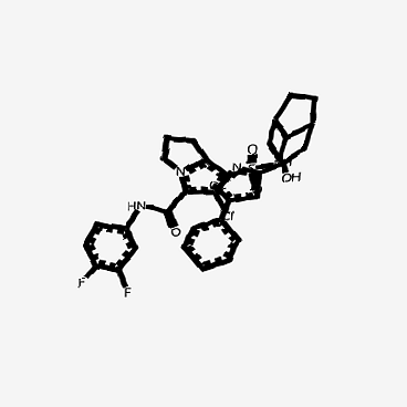 O=C(Nc1ccc(F)c(F)c1)c1c(Cl)c(S(=O)(=O)NC2C3CCC2CC(O)(c2cc(-c4ccccc4)on2)C3)c2n1CCC2